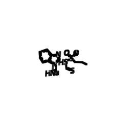 CCCS(=O)(=O)[SH](C=S)c1nc2ccccc2[nH]1.[NaH]